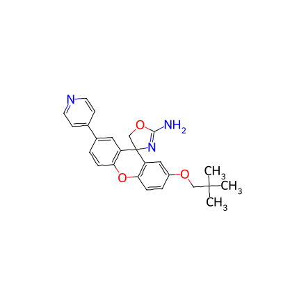 CC(C)(C)COc1ccc2c(c1)C1(COC(N)=N1)c1cc(-c3ccncc3)ccc1O2